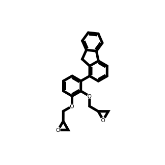 c1ccc2c(c1)Cc1c-2cccc1-c1cccc(OCC2CO2)c1OCC1CO1